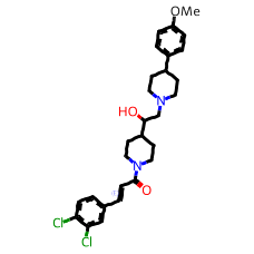 COc1ccc(C2CCN(CC(O)C3CCN(C(=O)/C=C/c4ccc(Cl)c(Cl)c4)CC3)CC2)cc1